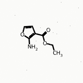 CCOC(=O)c1ccoc1N